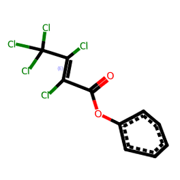 O=C(Oc1ccccc1)/C(Cl)=C(\Cl)C(Cl)(Cl)Cl